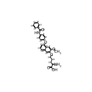 COc1cc2c(Oc3ccc(NC(=O)c4ccccc4)cc3)ccnc2cc1OCCC[C@@H](N)C(=O)O